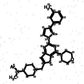 CC(=O)N(C)C1CCN(Cc2cc3nc(-n4ccc(-c5cccc(C)c5)n4)nc(N4CCOCC4)c3s2)CC1